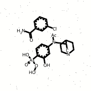 CC(=O)N(c1ccc([As](=O)(O)OO)c(O)c1)C1CN2CCC1CC2.NC(=O)c1cccc(Cl)c1